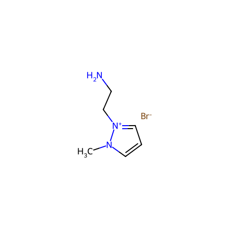 Cn1ccc[n+]1CCN.[Br-]